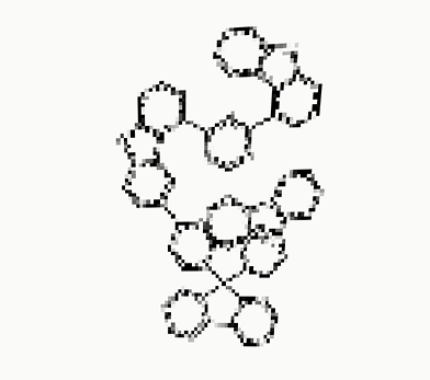 c1ccc2c(c1)-c1ccccc1C21c2ccccc2-c2cc(-c3ccc4oc5cccc(-c6nc(-c7cccc8oc9ccccc9c78)nc(-c7cccc8oc9ccccc9c78)n6)c5c4c3)ccc21